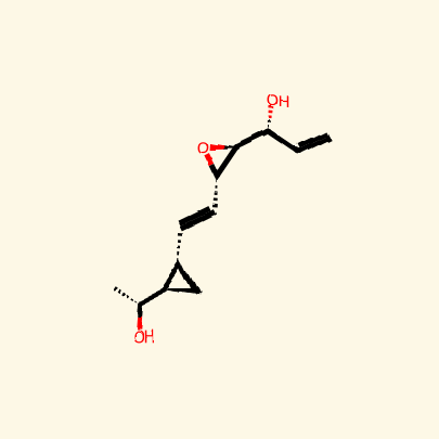 C=C[C@@H](O)[C@@H]1O[C@H]1/C=C/[C@@H]1C[C@H]1[C@@H](C)O